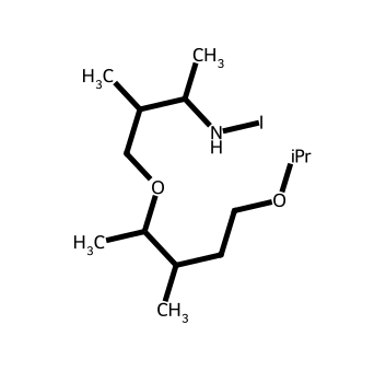 CC(C)OCCC(C)C(C)OCC(C)C(C)NI